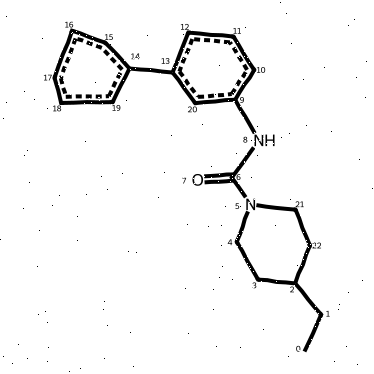 CCC1CCN(C(=O)Nc2cccc(-c3ccccc3)c2)CC1